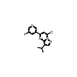 CC(C)c1cnn2c(Cl)cc(-c3cncc(F)c3)nc12